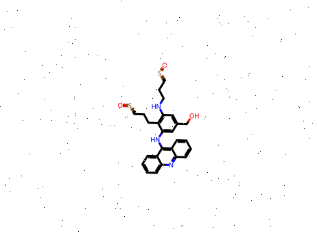 O=S=CCCNc1cc(CO)cc(Nc2c3ccccc3nc3ccccc23)c1CCC=S=O